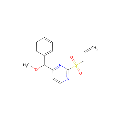 C=CCS(=O)(=O)c1nccc(C(OC)c2ccccc2)n1